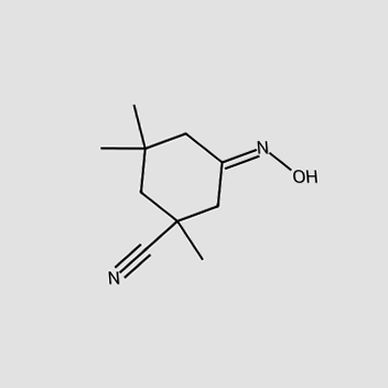 CC1(C)CC(=NO)CC(C)(C#N)C1